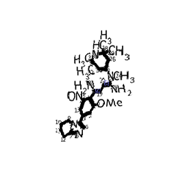 COc1cc(-c2cnc3n2CCCC3)cc(N=O)c1/C(N)=C/C=C(\N)N(C)C1CC(C)(C)NC(C)(C)C1